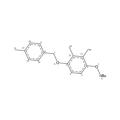 CCCCOc1ccc(OCc2ccc(C)cc2)c(C)c1C